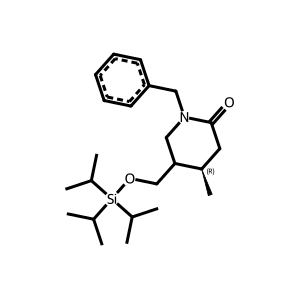 CC(C)[Si](OCC1CN(Cc2ccccc2)C(=O)C[C@H]1C)(C(C)C)C(C)C